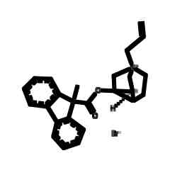 C=CC[N+]12CCC(CC1)[C@@H](OC(=O)C1(C)c3ccccc3-c3ccccc31)C2.[Br-]